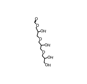 O=COCC(O)COCC(O)COCC(O)CO